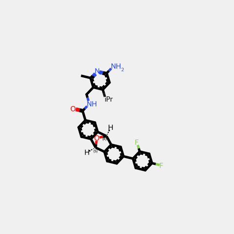 Cc1nc(N)cc(C(C)C)c1CNC(=O)c1ccc2c(c1)[C@@H]1O[C@H]2c2ccc(-c3ccc(F)cc3F)cc21